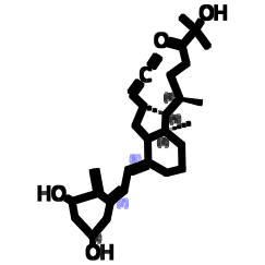 C=C=CC1CC2/C(=C/C=C3/C[C@@H](O)CC(O)C3=C)CCC[C@]2(C)[C@H]1[C@H](C)CCC(=O)C(C)(C)O